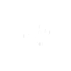 CC(=O)O.[F][Ag]